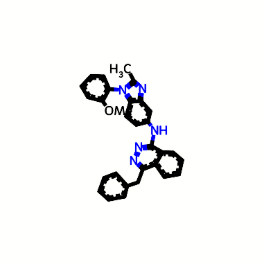 COc1ccccc1-n1c(C)nc2cc(Nc3nnc(Cc4ccccc4)c4ccccc34)ccc21